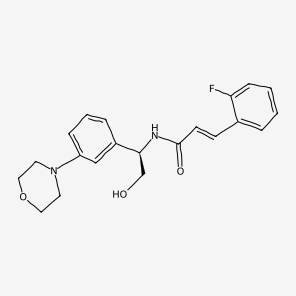 O=C(/C=C/c1ccccc1F)N[C@@H](CO)c1cccc(N2CCOCC2)c1